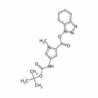 Cn1cc(NC(=O)OC(C)(C)C)cc1C(=O)On1nnc2ccccc21